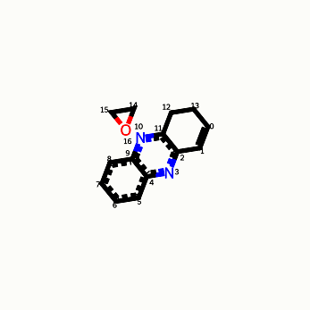 C1=Cc2nc3ccccc3nc2CC1.C1CO1